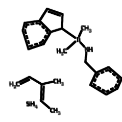 C=CC(C)=CC.[CH3][Ti]([CH3])([NH]Cc1ccccc1)[CH]1C=Cc2ccccc21.[SiH4]